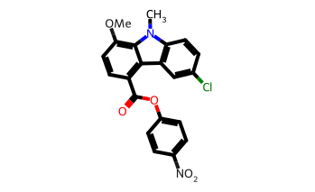 COc1ccc(C(=O)Oc2ccc([N+](=O)[O-])cc2)c2c3cc(Cl)ccc3n(C)c12